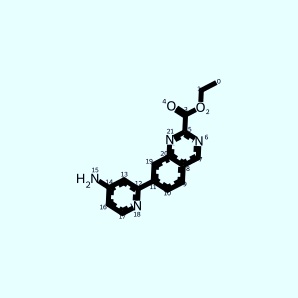 CCOC(=O)c1ncc2ccc(-c3cc(N)ccn3)cc2n1